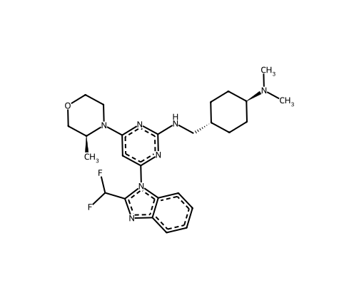 C[C@H]1COCCN1c1cc(-n2c(C(F)F)nc3ccccc32)nc(NC[C@H]2CC[C@H](N(C)C)CC2)n1